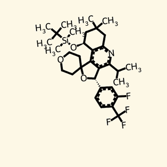 CC(C)c1nc2c(c3c1[C@H](c1ccc(C(F)(F)F)c(F)c1)OC31CCOCC1)[C@@H](O[Si](C)(C)C(C)(C)C)CC(C)(C)C2